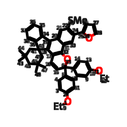 CCOc1ccc(C2(c3ccc(OCC)cc3)C=Cc3c4c(c5cc(SC)c(-c6ccco6)cc5c3O2)-c2ccccc2C42CC(C)(C)CC(C)(C)C2)cc1